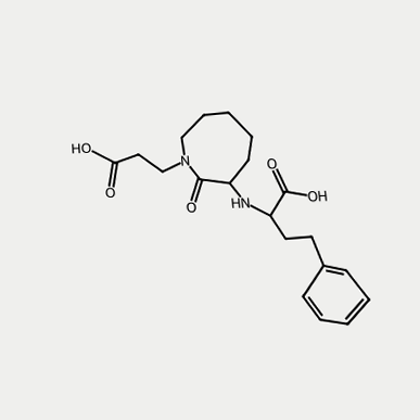 O=C(O)CCN1CCCCCC(NC(CCc2ccccc2)C(=O)O)C1=O